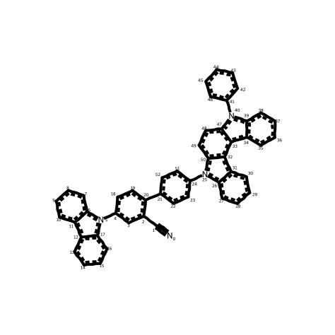 N#Cc1cc(-n2c3ccccc3c3ccccc32)ccc1-c1ccc(-n2c3ccccc3c3c4c5ccccc5n(-c5ccccc5)c4ccc32)cc1